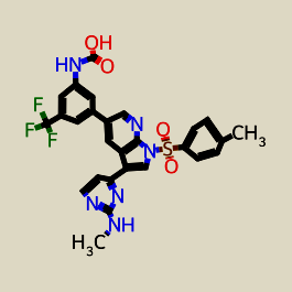 CNc1nccc(-c2cn(S(=O)(=O)c3ccc(C)cc3)c3ncc(-c4cc(NC(=O)O)cc(C(F)(F)F)c4)cc23)n1